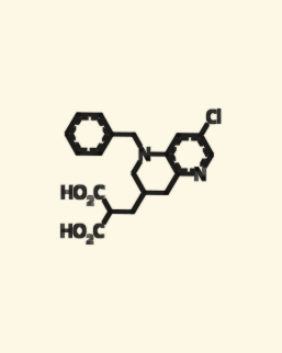 O=C(O)C(CC1Cc2ncc(Cl)cc2N(Cc2ccccc2)C1)C(=O)O